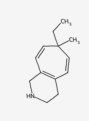 CCC1(C)C=CC2=C(C=C1)CNCC2